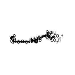 CC(C)(C)OC(=O)[C@H](CCCCNC(=O)Nc1cccc(-c2cn(CCOCCOCCOCCC(=O)ON3C(=O)CCC3=O)nn2)c1)NC(=O)N[C@@H](CCC(=O)O)C(=O)O